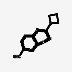 O=Cc1ccc2nc(N3CCC3)ncc2c1